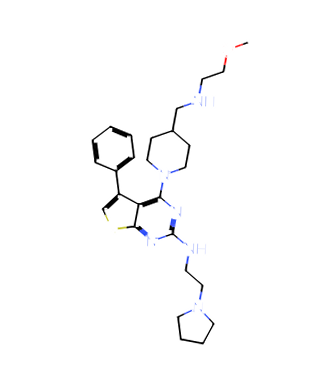 COCCNCC1CCN(c2nc(NCCN3CCCC3)nc3scc(-c4ccccc4)c23)CC1